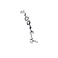 C=C(C)C(=O)OCCOC(=O)/C=C/c1ccc([C@H]2CC[C@H](CCC)CC2)cc1